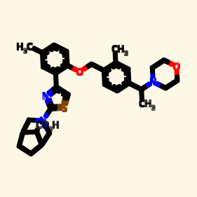 Cc1ccc(OCc2ccc(C(C)N3CCOCC3)cc2C)c(-c2csc(N3CC4CCC(C3)C4C(=O)O)n2)c1